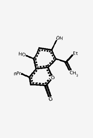 C=C(CC)c1c(O)cc(O)c2c(CCC)cc(=O)oc12